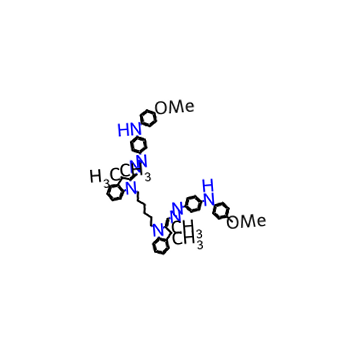 COc1ccc(Nc2ccc(/N=N/C=C3/N(CCCCCCN4/C(=C/N=N/c5ccc(Nc6ccc(OC)cc6)cc5)C(C)(C)c5ccccc54)c4ccccc4C3(C)C)cc2)cc1